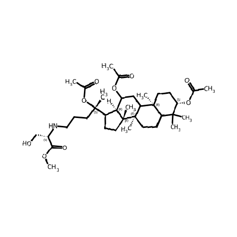 COC(=O)[C@H](CO)NCCC[C@](C)(OC(C)=O)C1CC[C@]2(C)[C@@H]1C(OC(C)=O)CC1[C@@]3(C)CC[C@H](OC(C)=O)C(C)(C)C3CC[C@]12C